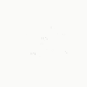 Cc1ccc(N[C@@H](C)C(=O)OC(CN(C)C)C(N)C(=O)O)c(C)c1